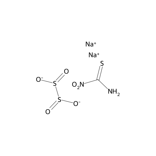 NC(=S)[N+](=O)[O-].O=S([O-])S(=O)[O-].[Na+].[Na+]